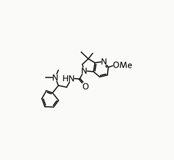 COc1ccc2c(n1)C(C)(C)CN2C(=O)NCC(c1ccccc1)N(C)C